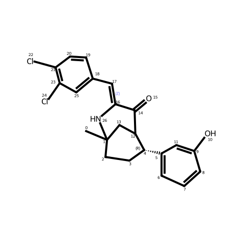 CC12CC[C@@H](c3cccc(O)c3)C(C1)C(=O)/C(=C/c1ccc(Cl)c(Cl)c1)N2